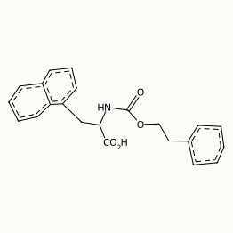 O=C(NC(Cc1cccc2ccccc12)C(=O)O)OCCc1ccccc1